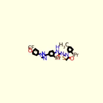 Cc1ccc(C(C)C)c(N2C(=O)CS/C2=N\C(=O)Nc2ccc(-c3ncn(-c4ccc(OC(F)(F)F)cc4)n3)cc2C(C)C)c1